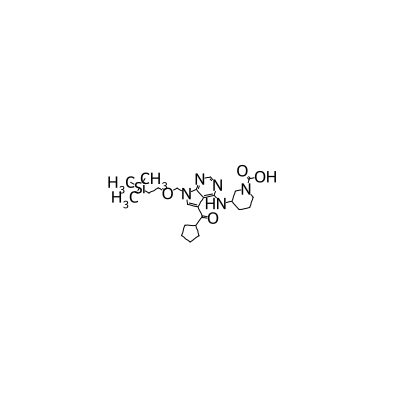 C[Si](C)(C)CCOCn1cc(C(=O)C2CCCC2)c2c(NC3CCCN(C(=O)O)C3)ncnc21